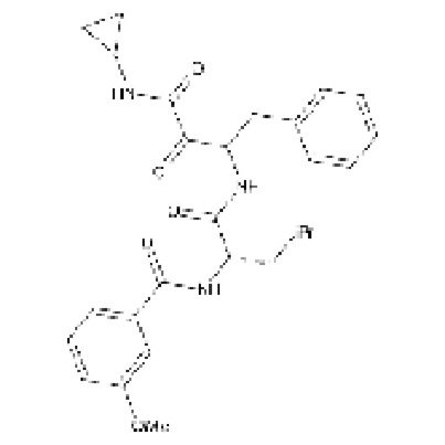 COc1cccc(C(=O)N[C@@H](CC(C)C)C(=O)NC(Cc2ccccc2)C(=O)C(=O)NC2CC2)c1